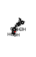 CCOc1ccccc1N1CCN(CCCN2C(=O)C3CC(O)=C(O)CC3C2=O)CC1.Cl